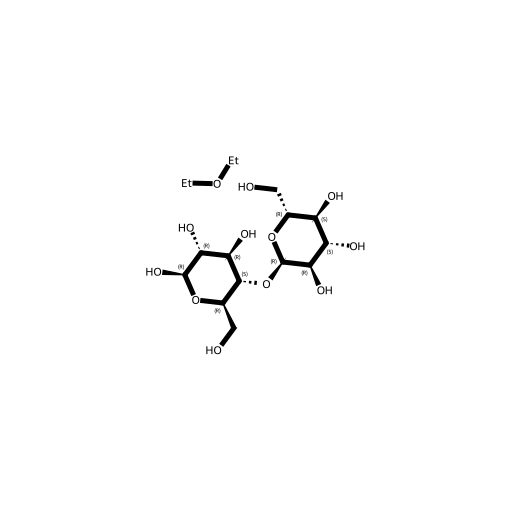 CCOCC.OC[C@H]1O[C@H](O[C@H]2[C@H](O)[C@@H](O)[C@H](O)O[C@@H]2CO)[C@H](O)[C@@H](O)[C@@H]1O